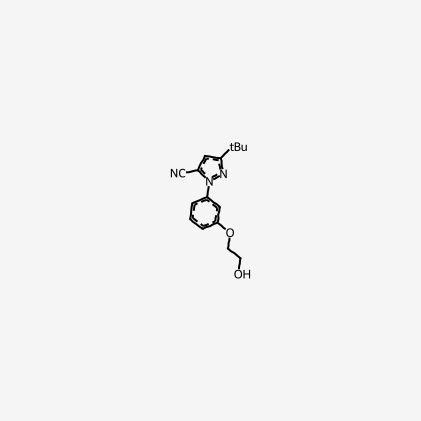 CC(C)(C)c1cc(C#N)n(-c2cccc(OCCO)c2)n1